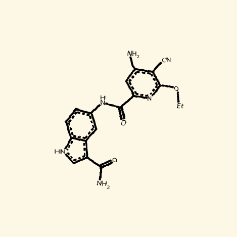 CCOc1nc(C(=O)Nc2ccc3[nH]cc(C(N)=O)c3c2)cc(N)c1C#N